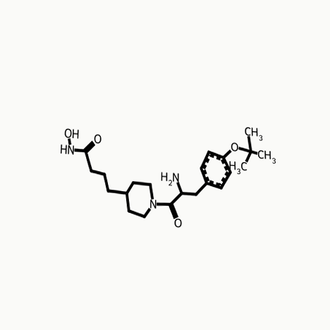 CC(C)(C)Oc1ccc(CC(N)C(=O)N2CCC(CCCC(=O)NO)CC2)cc1